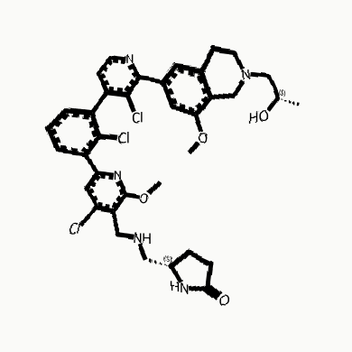 COc1cc(-c2nccc(-c3cccc(-c4cc(Cl)c(CNC[C@@H]5CCC(=O)N5)c(OC)n4)c3Cl)c2Cl)cc2c1CN(C[C@H](C)O)CC2